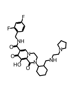 O=C(NCc1ccc(F)cc1F)c1cn2c(c(O)c1=O)C(=O)N(C1CCCCC1CNCCN1CCCC1)CC2